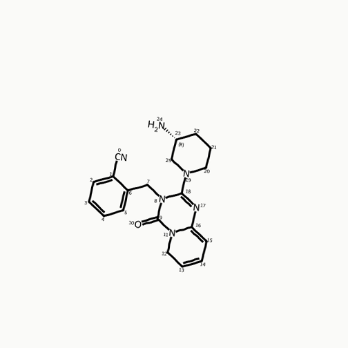 N#Cc1ccccc1CN1C(=O)N2CC=CC=C2N=C1N1CCC[C@@H](N)C1